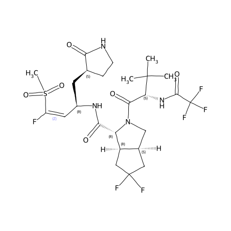 CC(C)(C)[C@H](NC(=O)C(F)(F)F)C(=O)N1C[C@H]2CC(F)(F)C[C@H]2[C@@H]1C(=O)N[C@@H](/C=C(/F)S(C)(=O)=O)C[C@@H]1CCNC1=O